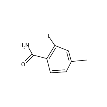 Cc1ccc(C(N)=O)c(I)c1